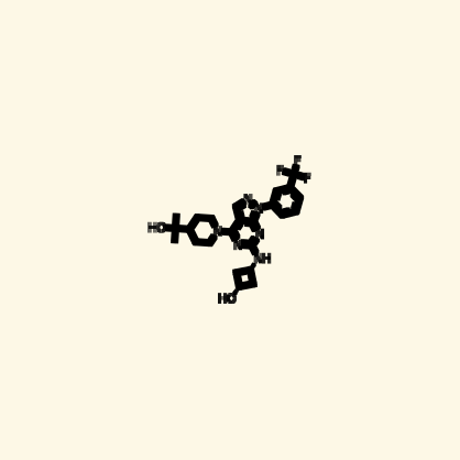 CC(C)(O)C1CCN(c2nc(N[C@H]3C[C@@H](O)C3)nc3c2cnn3-c2cccc(C(F)(F)F)c2)CC1